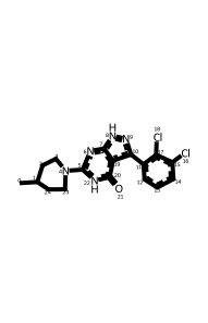 CC1CCN(c2nc3[nH]nc(-c4cccc(Cl)c4Cl)c3c(=O)[nH]2)CC1